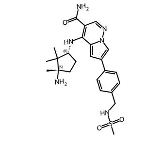 CC1(C)[C@H](Nc2c(C(N)=O)cnn3cc(-c4ccc(CNS(C)(=O)=O)cc4)cc23)CC[C@]1(C)N